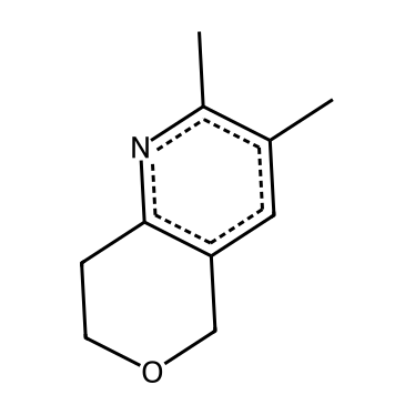 Cc1cc2c(nc1C)CCOC2